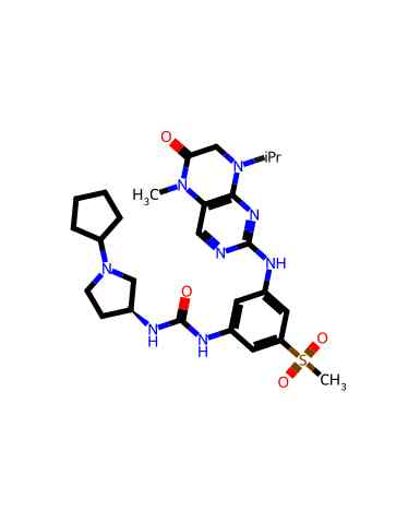 CC(C)N1CC(=O)N(C)c2cnc(Nc3cc(NC(=O)N[C@H]4CCN(C5CCCC5)C4)cc(S(C)(=O)=O)c3)nc21